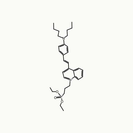 CCCCN(CCCC)c1ccc(C=Cc2cc[n+](CCCP(=O)(OCC)OCC)c3ccccc23)cc1